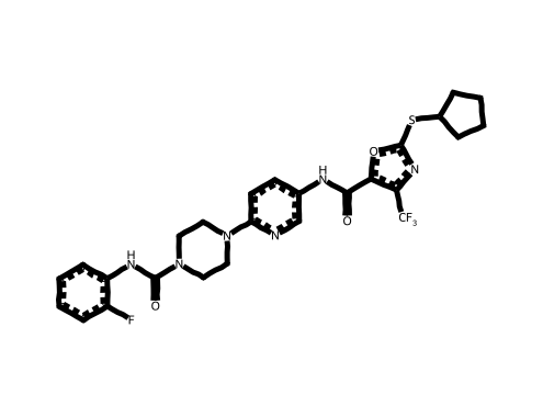 O=C(Nc1ccc(N2CCN(C(=O)Nc3ccccc3F)CC2)nc1)c1oc(SC2CCCC2)nc1C(F)(F)F